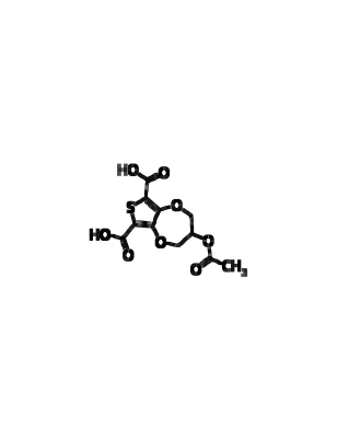 CC(=O)OC1COc2c(C(=O)O)sc(C(=O)O)c2OC1